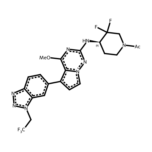 COc1nc(N[C@@H]2CCN(C(C)=O)CC2(F)F)nn2ccc(-c3ccc4nnn(CC(F)(F)F)c4c3)c12